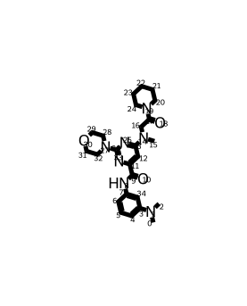 CN(C)c1cccc(NC(=O)c2cc(N(C)CC(=O)N3CCCCC3)nc(N3CCOCC3)n2)c1